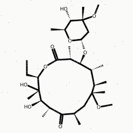 CC[C@H]1OC(=O)[C@H](C)[C@@H](O[C@H]2C[C@@](C)(OC)[C@@H](O)[C@H](C)O2)[C@H](C)[C@@H](C)[C@](C)(OC)C[C@@H](C)C(=O)[C@H](C)[C@@H](O)[C@]1(C)O